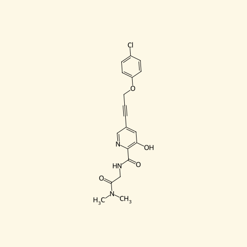 CN(C)C(=O)CNC(=O)c1ncc(C#CCOc2ccc(Cl)cc2)cc1O